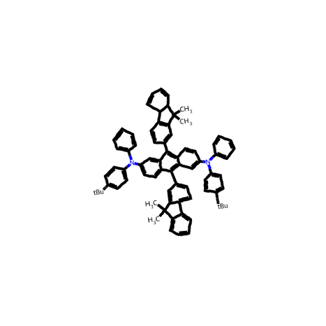 CC(C)(C)c1ccc(N(c2ccccc2)c2ccc3c(-c4ccc5c(c4)C(C)(C)C4C=CC=CC54)c4cc(N(c5ccccc5)c5ccc(C(C)(C)C)cc5)ccc4c(-c4ccc5c(c4)C(C)(C)c4ccccc4-5)c3c2)cc1